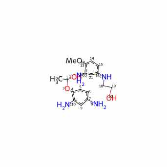 CC(O)Oc1ccc(N)cc1N.COc1ccc(NCCO)cc1N